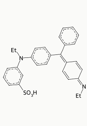 CCN=C1C=CC(=C(c2ccccc2)c2ccc(N(CC)c3cccc(S(=O)(=O)O)c3)cc2)C=C1